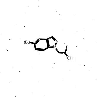 CC(F)Cn1ncc2cc(C(C)(C)C)ccc21